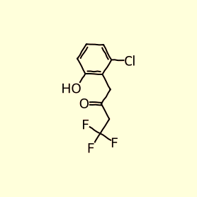 O=C(Cc1c(O)cccc1Cl)CC(F)(F)F